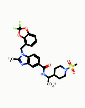 CS(=O)(=O)N1CCC(C(NC(=O)c2ccc3c(c2)nc(C(F)(F)F)n3Cc2cccc3c2OC(F)(F)O3)C(=O)O)CC1